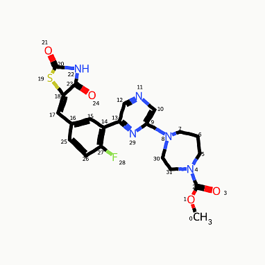 COC(=O)N1CCCN(c2cncc(-c3cc(C=C4SC(=O)NC4=O)ccc3F)n2)CC1